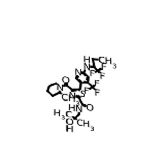 CCC(Nc1cc(C(F)(F)F)c(-c2sc(C(=O)NCC(C)(C)O)nc2C(=O)N2CCCCC2C)cn1)C(F)(F)F